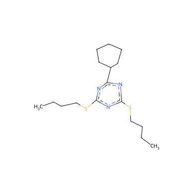 CCCCSc1nc(SCCCC)nc(C2CCCCC2)n1